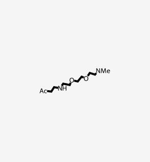 CNCCOCCOCCNCCC(C)=O